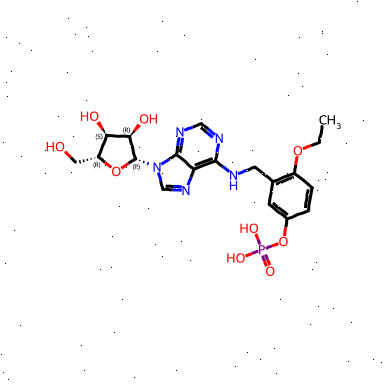 CCOc1ccc(OP(=O)(O)O)cc1CNc1ncnc2c1ncn2[C@@H]1O[C@H](CO)[C@@H](O)[C@H]1O